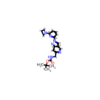 CC(C)(C)OC(=O)NCc1cc2nn(-c3cccc(N4CCC4)n3)cc2cn1